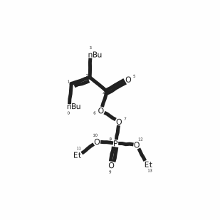 CCCCC=C(CCCC)C(=O)OOP(=O)(OCC)OCC